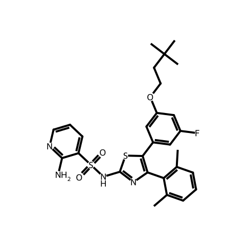 Cc1cccc(C)c1-c1nc(NS(=O)(=O)c2cccnc2N)sc1-c1cc(F)cc(OCCC(C)(C)C)c1